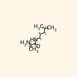 CC(C)CCCNC(=O)[C@@H](C)N